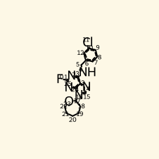 Fc1nc(NCc2cccc(Cl)c2)c2ncn(C3CCCCCO3)c2n1